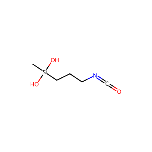 C[Si](O)(O)CCCN=C=O